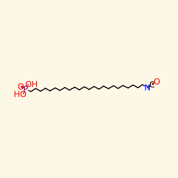 O=C=NCCCCCCCCCCCCCCCCCCCCCCCCP(=O)(O)O